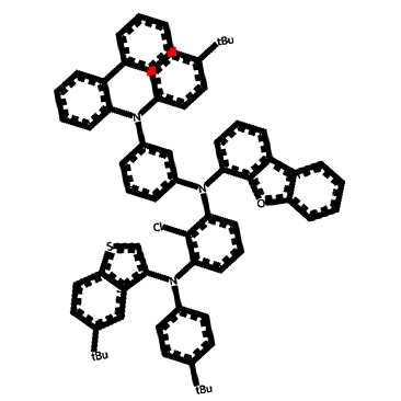 CC(C)(C)c1ccc(N(c2cccc(N(c3cccc(N(c4ccc(C(C)(C)C)cc4)c4csc5ccc(C(C)(C)C)cc45)c3Cl)c3cccc4c3oc3ccccc34)c2)c2ccccc2-c2ccccc2)cc1